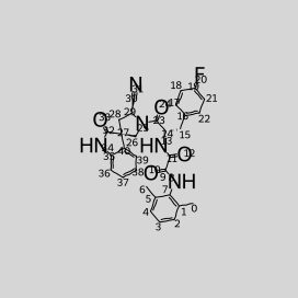 Cc1cccc(C)c1NC(=O)C(=O)N[C@@H](Cc1ccc(F)cc1)C(=O)N1C[C@]2(C[C@H]1C#N)C(=O)Nc1ccccc12